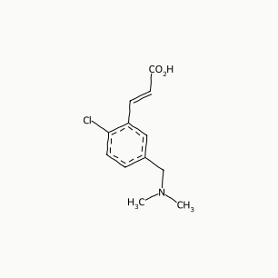 CN(C)Cc1ccc(Cl)c(C=CC(=O)O)c1